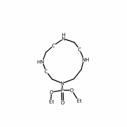 CCOP(=O)(OCC)N1CCNCCNCCNCC1